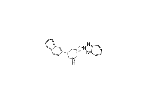 c1ccc2cc(C3CNC[C@@H](Cn4nc5ccccc5n4)C3)ccc2c1